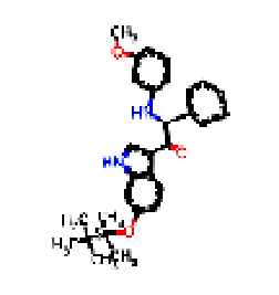 COc1cccc(NC(C(=O)c2c[nH]c3cc(O[Si](C)(C)C(C)(C)C)ccc23)c2ccccc2)c1